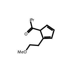 COCCC1=CC=CC1C(=O)C(C)C